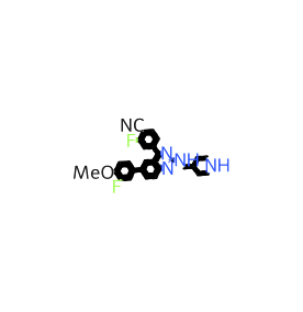 COc1ccc(-c2ccc3nc(NCC4CCNCC4)nc(-c4ccc(C#N)c(F)c4)c3c2)cc1F